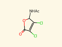 CC(=O)NC1OC(=O)C(Cl)=C1Cl